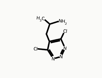 CC(N)Cc1c(Cl)nnnc1Cl